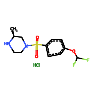 C[C@H]1CN(S(=O)(=O)c2ccc(OC(F)F)cc2)CCN1.Cl